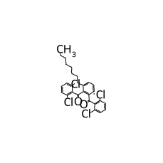 CCCCCCCCc1cc[c]c(C(=O)c2c(Cl)cccc2Cl)c1C(=O)c1c(Cl)cccc1Cl